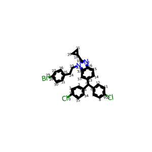 Clc1ccc(C(c2ccc(Cl)cc2)c2ccc3nc(C4CC4)n(CCc4ccc(Br)cc4)c3c2)cc1